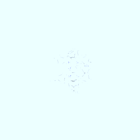 Cc1ccc2c(c1)c1cc(C)ccc1n2-c1nc(-n2c3ccc(C)cc3c3cc(C)ccc32)c(-n2c3ccccc3c3ccccc32)c(-c2cccnc2)c1-n1c2ccccc2c2ccccc21